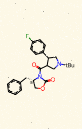 CC(C)(C)N1CC(C(=O)N2C(=O)OC[C@@H]2Cc2ccccc2)C(c2ccc(F)cc2)C1